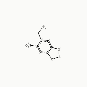 O=[N+]([O-])c1cc2c(cc1CC(F)(F)F)OCO2